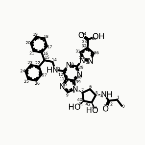 CCC(=O)N[C@H]1C[C@@H](n2cnc3c(NCC(c4ccccc4)c4ccccc4)nc(-n4cc(C(=O)O)cn4)nc32)[C@H](O)[C@@H]1O